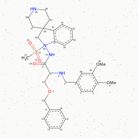 COc1ccc(CNC(COCc2ccccc2)C(=O)N[N+]2(S(C)(=O)=O)CC3(CCNCC3)c3ccccc32)cc1OC